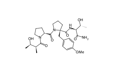 COc1ccc(C[C@]2(C(=O)N[C@H](C(N)=O)[C@@H](C)O)CCCN2C(=O)[C@@H]2CCCN2C(=O)[C@@H](C)[C@@H](C)O)cc1